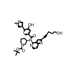 Cn1cc(-c2ccc(C(=O)N(c3nccc4sc(C#CCCCO)cc34)[C@@H]3CCCN(C(=O)OC(C)(C)C)C3)cc2O)cn1